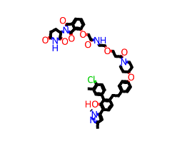 Cc1cc(-c2ccc(CCc3ccc(OC4CCN(C(=O)CCOCCNC(=O)COc5cccc6c5C(=O)N(C5CCC(=O)NC5=O)C6=O)CC4)cc3)c(-c3ccc(Cl)c(C)c3)c2O)n(C)n1